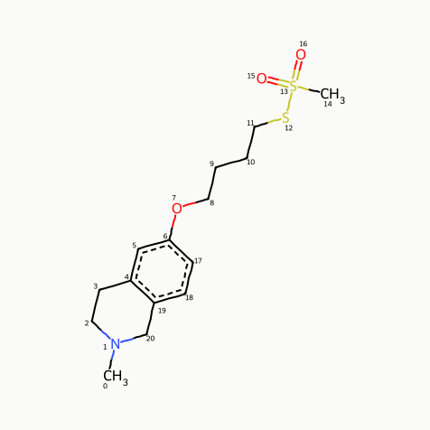 CN1CCc2cc(OCCCCSS(C)(=O)=O)ccc2C1